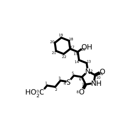 O=C(O)CCCSCC1C(=O)NC(=O)N1CCC(O)C1CCCCC1